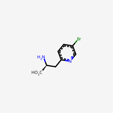 N[C@@H](Cc1ccc(Br)cn1)C(=O)O